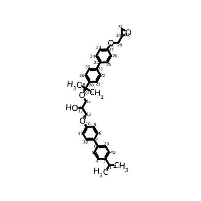 CC(C)c1ccc(-c2ccc(OCC(O)COC(C)(C)c3ccc(-c4ccc(OCC5CO5)cc4)cc3)cc2)cc1